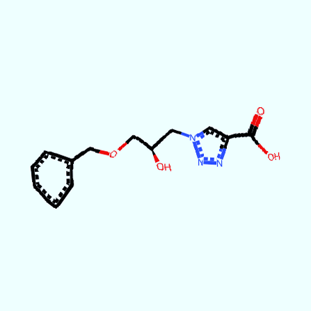 O=C(O)c1cn(C[C@@H](O)COCc2ccccc2)nn1